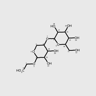 O=C(O)COC1OCC(OC2OC(CO)C(O)C(O)C2O)C(O)C1O